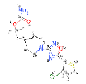 CC(C)(CC1CCN(c2noc(-c3sccc3Cl)n2)CC1)OC(N)=O